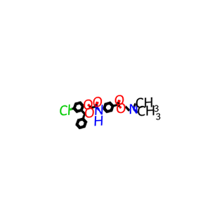 CCN(CC)CCOC(=O)c1ccc(NC(=O)COc2ccc(Cl)cc2C(=O)c2ccccc2)cc1